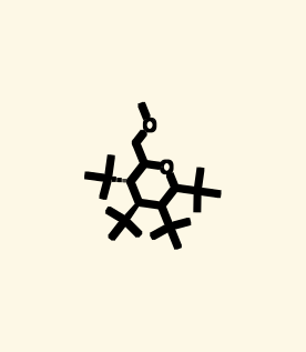 COCC1OC(C(C)(C)C)C(C(C)(C)C)[C@@H](C(C)(C)C)[C@@H]1C(C)(C)C